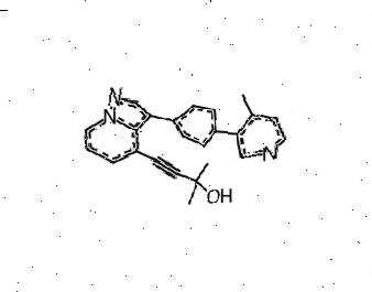 Cc1ccncc1-c1ccc(-c2cnn3cccc(C#CC(C)(C)O)c23)cc1